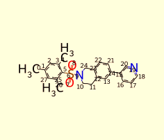 Cc1cc(C)c(S(=O)(=O)N2CCc3cc(-c4cccnc4)ccc3C2)c(C)c1